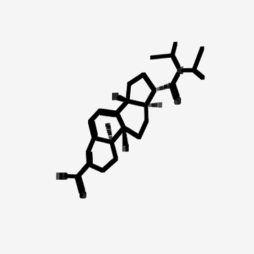 CC(C)N(C(=O)[C@H]1CC[C@H]2C3=CC=C4C=C(C(=O)O)CC[C@]4(C)[C@H]3CC[C@]12C)C(C)C